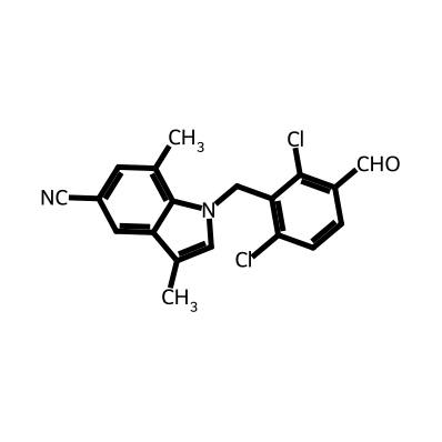 Cc1cn(Cc2c(Cl)ccc(C=O)c2Cl)c2c(C)cc(C#N)cc12